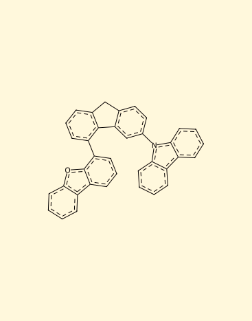 c1cc2c(c(-c3cccc4c3oc3ccccc34)c1)-c1cc(-n3c4ccccc4c4ccccc43)ccc1C2